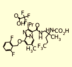 Cc1cc(OCc2c(F)cccc2F)c2nc(C(C)C)c(C(=O)NCC(C)(CCC(F)(F)F)NC(=O)O)n2c1.O=C(O)C(F)(F)F